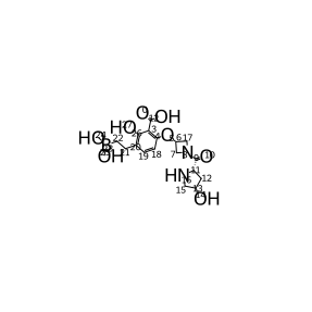 O=C(O)c1c(OC2CN(C(=O)[C@@H]3CC(O)CN3)C2)ccc(CCB(O)O)c1O